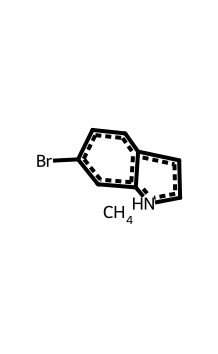 Brc1ccc2cc[nH]c2c1.C